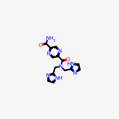 NC(=O)c1cnc(C(=O)N(Cc2ncc[nH]2)Cc2ncc[nH]2)cn1